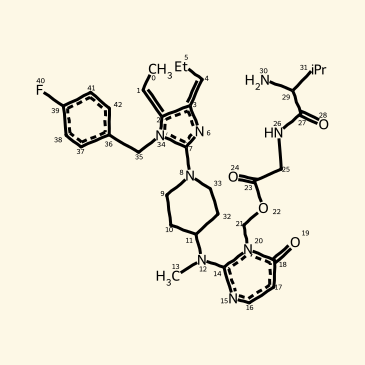 C/C=c1\c(=C/CC)nc(N2CCC(N(C)c3nccc(=O)n3COC(=O)CNC(=O)C(N)C(C)C)CC2)n1Cc1ccc(F)cc1